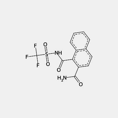 NC(=O)c1ccc2ccccc2c1C(=O)NS(=O)(=O)C(F)(F)F